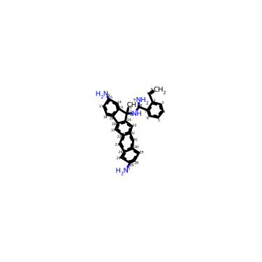 C=Cc1ccccc1C(N)NC1(C)c2cc(N)ccc2-c2cc3cc4cc(N)ccc4cc3cc21